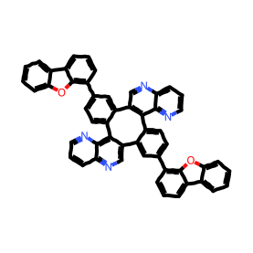 c1cnc2c3c(cnc2c1)-c1cc(-c2cccc4c2oc2ccccc24)ccc1-c1c(cnc2cccnc12)-c1cc(-c2cccc4c2oc2ccccc24)ccc1-3